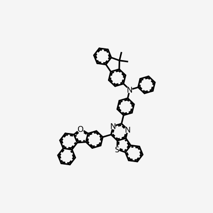 CC1(C)c2ccccc2-c2ccc(N(c3ccccc3)c3ccc(-c4nc(-c5ccc6c(c5)oc5ccc7ccccc7c56)c5sc6ccccc6c5n4)cc3)cc21